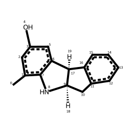 Cc1cc(O)cc2c1N[C@@H]1Cc3ccccc3[C@H]21